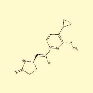 COc1nc(C(Br)=C[C@H]2CCC(=O)N2)ccc1C1CC1